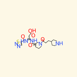 O=C(O)C[C@H](NC(=O)c1cnns1)NC(=O)[C@@H]1CCCN(C(=O)CCC2CCNCC2)C1